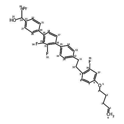 C=CCCCOc1ccc(CCc2ccc(-c3ccc(-c4ccc(C(O)CCC)cc4)c(F)c3F)cc2)c(F)c1